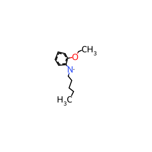 CCCCC[N]c1ccccc1OCC